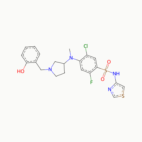 CN(c1cc(F)c(S(=O)(=O)Nc2cscn2)cc1Cl)C1CCN(Cc2ccccc2O)C1